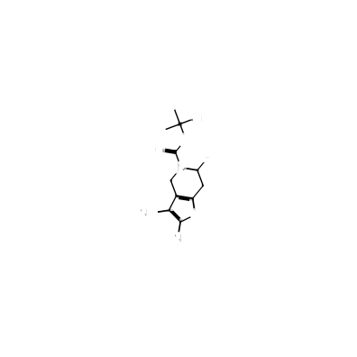 CCC1Cc2sc(N)c(C#N)c2CN1C(=O)OC(C)(C)CC